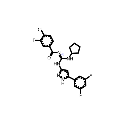 O=C(/N=C(\Nc1cc(-c2cc(F)cc(F)c2)[nH]n1)NC1CCCC1)c1ccc(Cl)c(F)c1